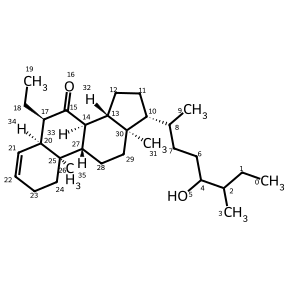 CCC(C)C(O)CCC(C)[C@H]1CC[C@H]2[C@@H]3C(=O)[C@H](CC)[C@@H]4C=CCC[C@]4(C)[C@H]3CC[C@]12C